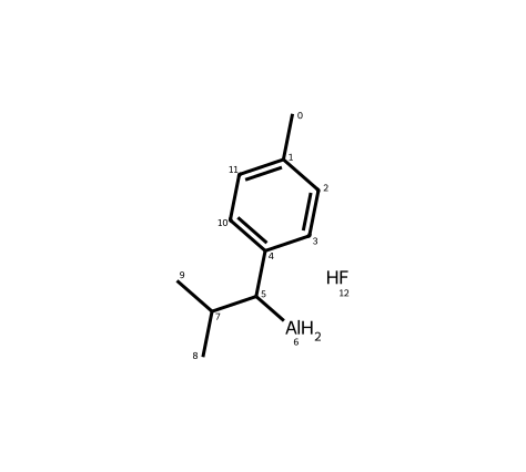 Cc1ccc([CH]([AlH2])C(C)C)cc1.F